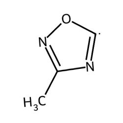 Cc1n[c]on1